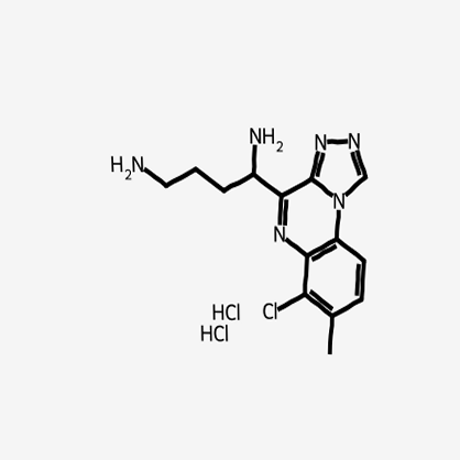 Cc1ccc2c(nc(C(N)CCCN)c3nncn32)c1Cl.Cl.Cl